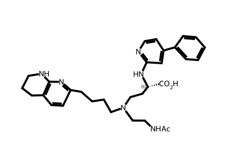 CC(=O)NCCN(CCCCc1ccc2c(n1)NCCC2)CC[C@H](Nc1cc(-c2ccccc2)ccn1)C(=O)O